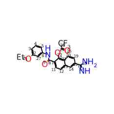 CCOc1cccc(NC(=O)c2ccc3cc(C(=N)N)ccc3c2OC(=O)C(F)(F)F)c1